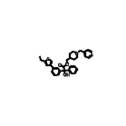 CCc1cc(-c2cccc([C@](O)(C(=O)OCC3CCN(Cc4ccccc4)CC3)c3ccccc3)c2)cs1